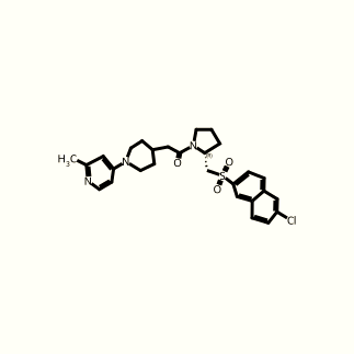 Cc1cc(N2CCC(CC(=O)N3CCC[C@@H]3CS(=O)(=O)c3ccc4cc(Cl)ccc4c3)CC2)ccn1